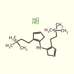 C[Si](C)(C)CCC1=[C]([Hf][C]2=C(CC[Si](C)(C)C)C=CC2)CC=C1.Cl.Cl